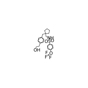 O=S(=O)(NCC1(Cc2ccc(CCO)cc2)CCCC1)c1ccc(OC(F)(F)F)cc1